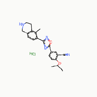 Cc1c(-c2noc(-c3ccc(OC(C)C)c(C#N)c3)n2)ccc2c1CCNC2.Cl